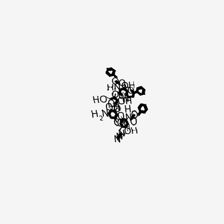 C[C@H]1C[C@@H](N)[C@H](O)[C@@H](O[C@@H]2O[C@H](CO)[C@@H](O[C@H]3O[C@H]4CCC(c5ccccc5)O[C@H]4[C@H](O)[C@H]3NC(=O)OCc3ccccc3)[C@H]2O)[C@@H]1O[C@H]1O[C@H](CN=[N+]=[N-])[C@@H](O)C[C@H]1NC(=O)OCc1ccccc1